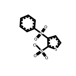 O=S(=O)(Cl)c1sccc1S(=O)(=O)c1ccccc1